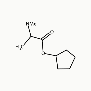 CNC(C)C(=O)OC1CCCC1